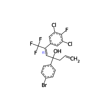 C=CCC(O)(/C=C(\c1cc(Cl)c(F)c(Cl)c1)C(F)(F)F)c1ccc(Br)cc1